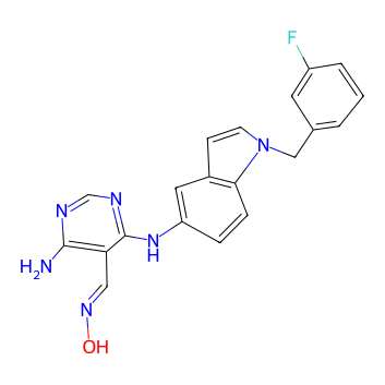 Nc1ncnc(Nc2ccc3c(ccn3Cc3cccc(F)c3)c2)c1C=NO